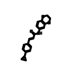 O=C(/C=C/c1ccc(C2CC2)cc1)Nc1ccc2c(c1)OCCO2